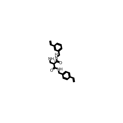 C=Cc1ccc(CNC(=O)C(CN)C(=O)NCc2cccc(C=C)c2)cc1